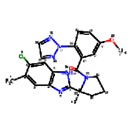 C[C@@]1(c2nc3cc(C(F)(F)F)c(Cl)cc3[nH]2)CCCN1C(=O)c1cc(OC(F)(F)F)ccc1-n1nccn1